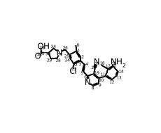 Cc1cc(/C=C/c2nccc(-c3cccc(N)c3C)c2C#N)c(Cl)cc1CN1CC[C@@H](C(=O)O)C1